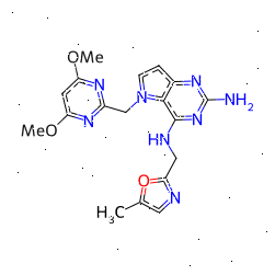 COc1cc(OC)nc(Cn2ccc3nc(N)nc(NCc4ncc(C)o4)c32)n1